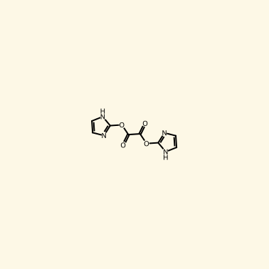 O=C(Oc1ncc[nH]1)C(=O)Oc1ncc[nH]1